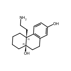 NCC[C@]12CCCC[C@@]1(O)CCc1cc(O)ccc12